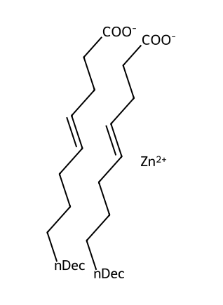 CCCCCCCCCCCCCC=CCCC(=O)[O-].CCCCCCCCCCCCCC=CCCC(=O)[O-].[Zn+2]